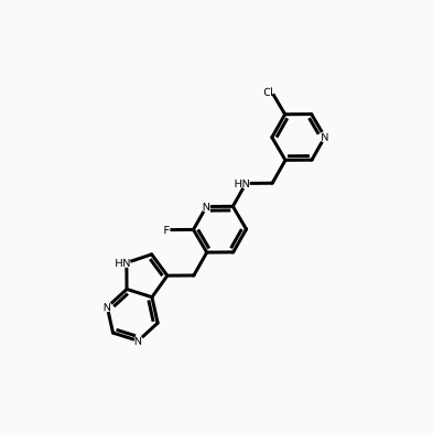 Fc1nc(NCc2cncc(Cl)c2)ccc1Cc1c[nH]c2ncncc12